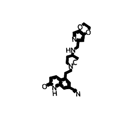 N#Cc1cc(CCN2CCC(NCc3cc4c(cn3)OCCO4)CC2)c2ccc(=O)[nH]c2c1